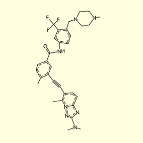 Cc1ccc(C(=O)Nc2ccc(CN3CCN(C)CC3)c(C(F)(F)F)c2)cc1C#Cc1ccc2nc(N(C)C)nn2c1C